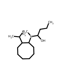 CCCC(O)N(C)C1CCCCCCC1C(C)C